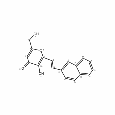 O=c1cc(CO)oc(C=Cc2ccc3ccccc3c2)c1O